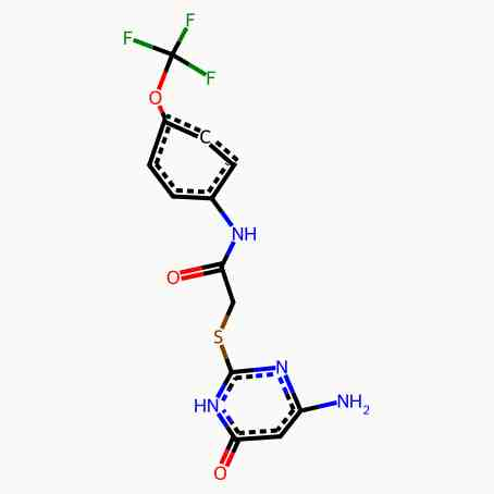 Nc1cc(=O)[nH]c(SCC(=O)Nc2ccc(OC(F)(F)F)cc2)n1